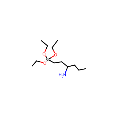 CCCC(N)CC[Si](OCC)(OCC)OCC